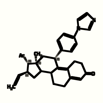 C=C[C@@H]1CC2C3CCC4=CC(=O)CCC4=C3[C@@H](c3ccc(-n4ccnc4)cc3)C[C@]2(C)[C@H]1C(C)=O